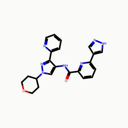 O=C(Nc1cn(C2CCOCC2)nc1-c1ccccn1)c1cccc(-c2cn[nH]c2)n1